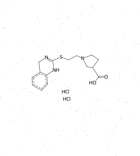 Cl.Cl.O=C(O)C1CCN(CCSC2=NCc3ccccc3N2)C1